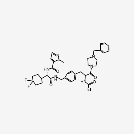 CCC(=O)NC(Cc1ccc(CNC(=O)[C@@H](NC(=O)c2ccnn2C)C2CCC(F)(F)CC2)cc1)C(=O)N1CCN(Cc2ccccc2)CC1